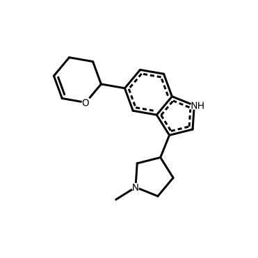 CN1CCC(c2c[nH]c3ccc(C4CCC=CO4)cc23)C1